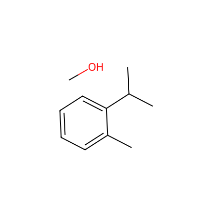 CO.Cc1ccccc1C(C)C